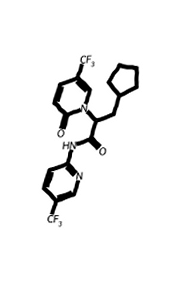 O=C(Nc1ccc(C(F)(F)F)cn1)C(CC1CCCC1)n1cc(C(F)(F)F)ccc1=O